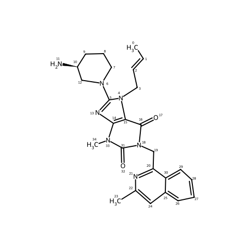 CC=CCn1c(N2CCC[C@H](N)C2)nc2c1c(=O)n(Cc1nc(C)cc3ccccc13)c(=O)n2C